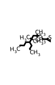 CCCCC(CCC)C(C)(C)CC(C)(C)SCC1CS1